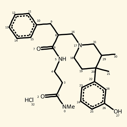 CNC(=O)CCNC(=O)C(Cc1ccccc1)CN1CCC(C)(c2cccc(O)c2)C(C)C1.Cl